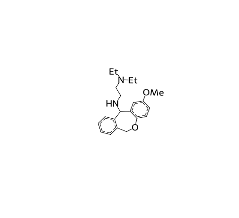 CCN(CC)CCNC1c2ccccc2COc2ccc(OC)cc21